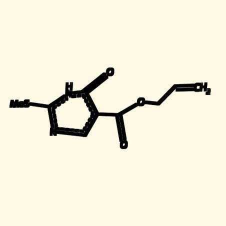 C=CCOC(=O)c1cnc(SC)[nH]c1=O